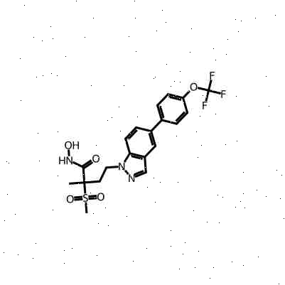 CC(CCn1ncc2cc(-c3ccc(OC(F)(F)F)cc3)ccc21)(C(=O)NO)S(C)(=O)=O